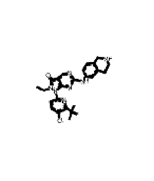 CCn1c(=O)c2cnc(Nc3ccc4c(c3)CCNC4)nc2n1-c1ccc(Cl)c(C(C)(C)C)n1